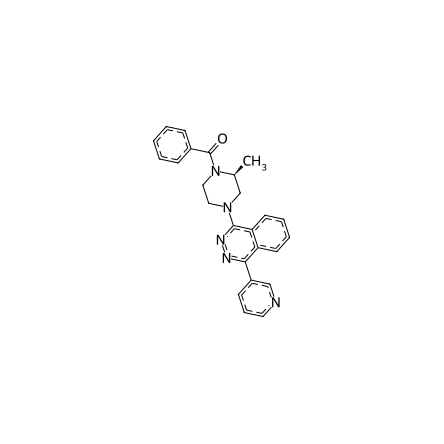 C[C@H]1CN(c2nnc(-c3cccnc3)c3ccccc23)CCN1C(=O)c1ccccc1